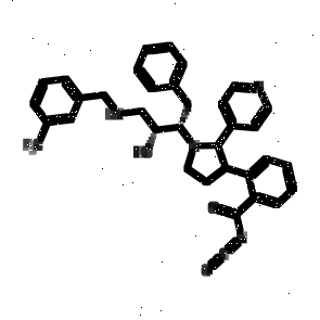 O=C=NC(=O)c1ccccc1C1CCN([C@@H](Cc2ccccc2)[C@H](O)CNCc2cccc(C(F)(F)F)c2)C1c1ccncc1